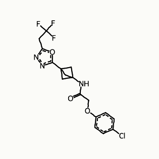 O=C(COc1ccc(Cl)cc1)NC12CC(c3nnc(CC(F)(F)F)o3)(C1)C2